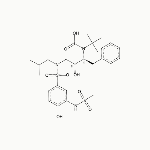 CC(C)CN(C[C@@H](O)[C@H](Cc1ccccc1)N(C(=O)O)C(C)(C)C)S(=O)(=O)c1ccc(O)c(NS(C)(=O)=O)c1